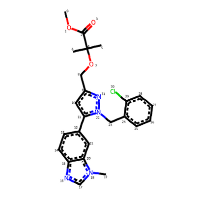 COC(=O)C(C)(C)OCc1cc(-c2ccc3ncn(C)c3c2)n(Cc2ccccc2Cl)n1